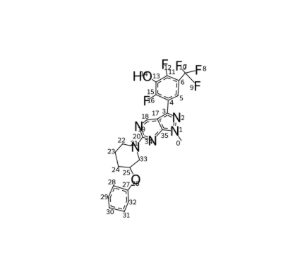 Cn1nc(-c2cc(C(F)(F)F)c(F)c(O)c2F)c2cnc(N3CCCC(Oc4ccccc4)C3)nc21